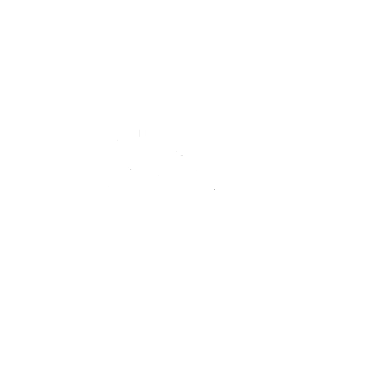 COC(=O)c1ccccc1C(C(C)=O)[Si](C)(C)C